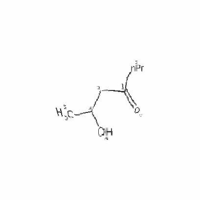 CCCC(=O)CC(C)O